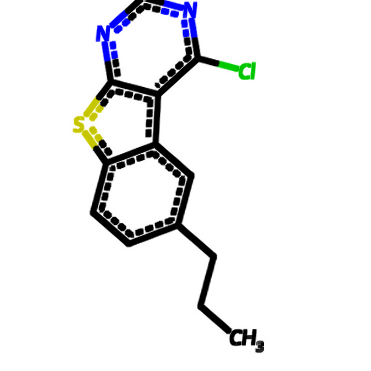 CCCc1ccc2sc3ncnc(Cl)c3c2c1